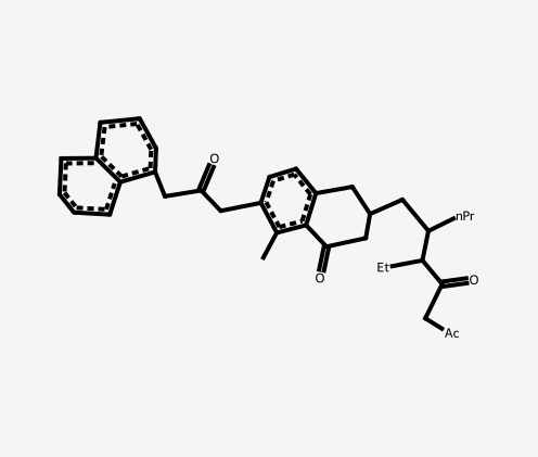 CCCC(CC1CC(=O)c2c(ccc(CC(=O)Cc3cccc4ccccc34)c2C)C1)C(CC)C(=O)CC(C)=O